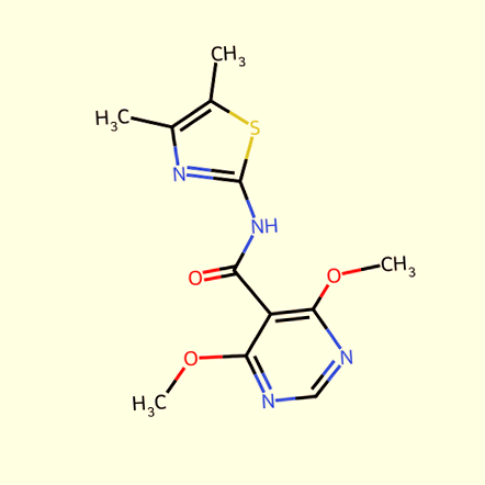 COc1ncnc(OC)c1C(=O)Nc1nc(C)c(C)s1